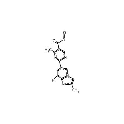 Cc1cn2cc(-c3ncc(C(=O)N=O)c(C)n3)cc(F)c2n1